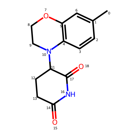 Cc1ccc2c(c1)OCCN2C1CCC(=O)NC1=O